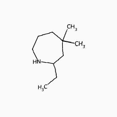 CCC1CC(C)(C)CCCN1